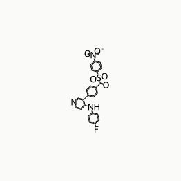 O=C(c1ccc(-c2cnccc2Nc2ccc(F)cc2)cc1)S(=O)(=O)c1ccc([N+](=O)[O-])cc1